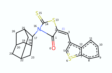 O=C1/C(=C\c2csc3ccccc23)SC(=S)N1C1C2CC3CC(C2)CC1C3